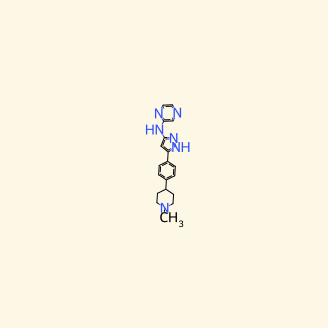 CN1CCC(c2ccc(-c3cc(Nc4cnccn4)n[nH]3)cc2)CC1